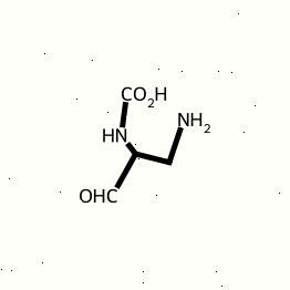 NCC(C=O)NC(=O)O